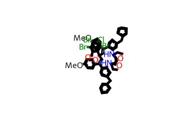 COc1ccc(/C(=C\C2(/C=C(\c3ccc(OC)cc3)c3ccc(Cc4ccccc4)cc3NCC3CCCO3)OC(=O)c3c(Br)c(Br)c(Cl)c(Br)c32)c2ccc(Cc3ccccc3)cc2NCC2CCCO2)cc1